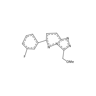 COCc1nnc2ccc(-c3cccc(F)c3)nn12